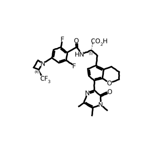 Cc1nc(-c2ccc(C[C@H](NC(=O)c3c(F)cc(N4CC[C@@H]4C(F)(F)F)cc3F)C(=O)O)c3c2OCCC3)c(=O)n(C)c1C